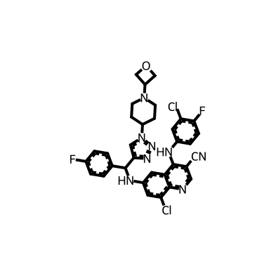 N#Cc1cnc2c(Cl)cc(NC(c3ccc(F)cc3)c3cn(C4CCN(C5COC5)CC4)nn3)cc2c1Nc1ccc(F)c(Cl)c1